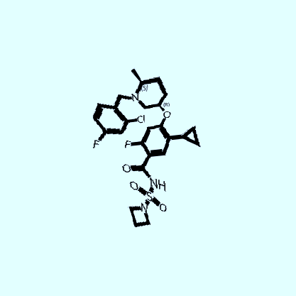 C[C@H]1CC[C@@H](Oc2cc(F)c(C(=O)NS(=O)(=O)N3CCC3)cc2C2CC2)CN1Cc1ccc(F)cc1Cl